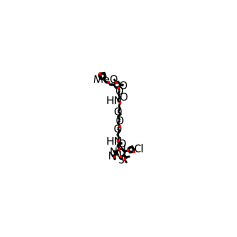 COC1=CC(=O)C(OCC(=O)NCCCOCCOCCOCCCNC(=O)CC2N=C(c3ccc(Cl)cc3)c3c(sc(C)c3C)-n3c(C)nnc32)=C/C1=C/C=C/c1ccccc1